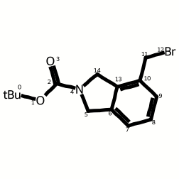 CC(C)(C)OC(=O)N1Cc2cccc(CBr)c2C1